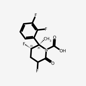 C[C@@]1(c2cccc(F)c2F)[C@@H](F)CC(F)C(=O)N1C(=O)O